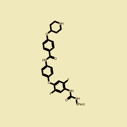 CCCCCNC(=O)Nc1cc(F)c(Oc2ccc(NC(=O)c3ccc(OC4CCNCC4)cc3)cc2)cc1F